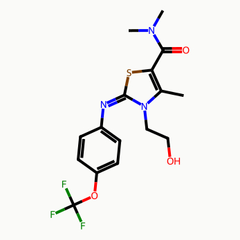 Cc1c(C(=O)N(C)C)sc(=Nc2ccc(OC(F)(F)F)cc2)n1CCO